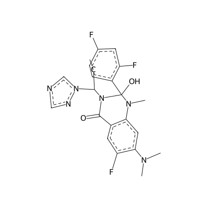 CCC(N1C(=O)c2cc(F)c(N(C)C)cc2N(C)C1(O)c1ccc(F)cc1F)n1cncn1